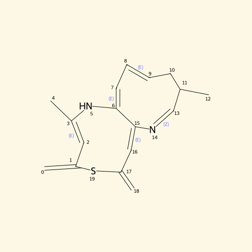 C=C1/C=C(\C)N/C2=C/C=C/CC(C)/C=N\C2=C\C(=C)S1